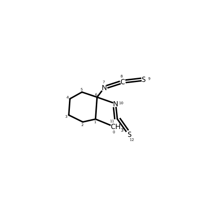 CC1CCCCC1(N=C=S)N=C=S